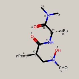 CCCCC[C@H](CN(O)C=O)C(=O)N[C@H](C(=O)N(C)C)C(C)(C)C